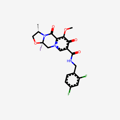 COc1c2n(cc(C(=O)NCc3ccc(F)cc3F)c1=O)C[C@@]1(I)OC[C@H](C)N1C2=O